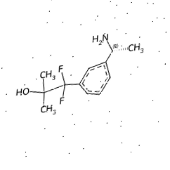 C[C@@H](N)c1cccc(C(F)(F)C(C)(C)O)c1